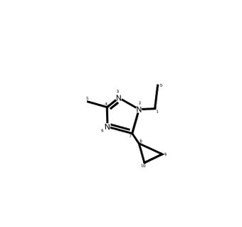 CCn1nc(C)nc1C1CC1